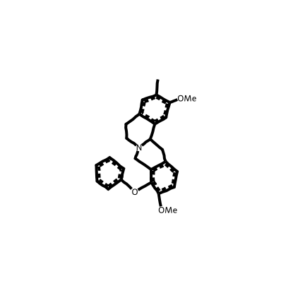 COc1cc2c(cc1C)CCN1Cc3c(ccc(OC)c3Oc3ccccc3)CC21